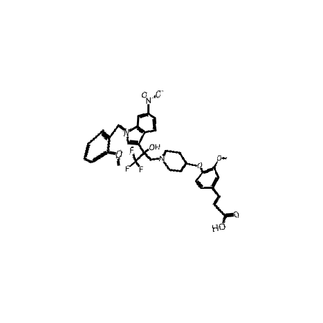 COc1ccccc1Cn1cc(C(O)(CN2CCC(Oc3ccc(CCC(=O)O)cc3OC)CC2)C(F)(F)F)c2ccc([N+](=O)[O-])cc21